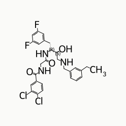 CCc1cccc(CNC[C@H](O)[C@@H](Cc2cc(F)cc(F)c2)NC(=O)CNC(=O)c2ccc(Cl)c(Cl)c2)c1